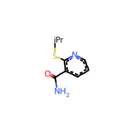 CC(C)Sc1ncccc1C(N)=O